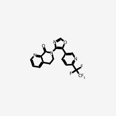 O=C1c2ncccc2CCN1c1ncoc1-c1ccc(C(F)(F)C(F)(F)F)nc1